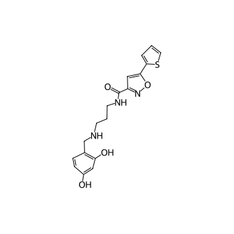 O=C(NCCCNCc1ccc(O)cc1O)c1cc(-c2cccs2)on1